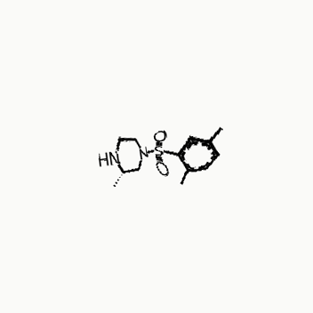 Cc1ccc(C)c(S(=O)(=O)N2CCN[C@@H](C)C2)c1